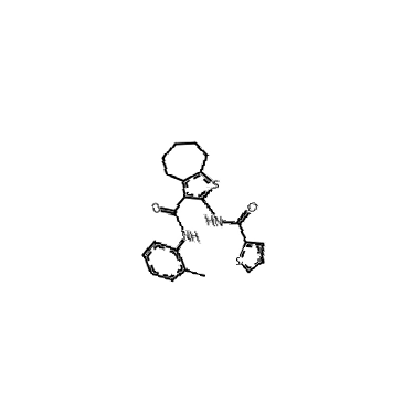 Cc1ccccc1NC(=O)c1c(NC(=O)c2cccs2)sc2c1CCCCC2